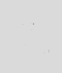 COc1cc2nonc2cc1CO